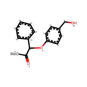 COC(=O)C(Oc1ccc(CO)cc1)c1ccccc1